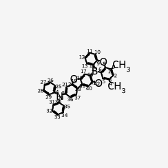 Cc1cc(C)c2c3c1Oc1ccccc1B3c1cc3oc4cc(N(c5ccccc5)c5ccccc5)ccc4c3cc1O2